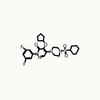 O=c1c(OC2CCCC2)c(N2CCN(S(=O)(=O)C3CCCCC3)CC2)cnn1-c1cc(F)cc(F)c1